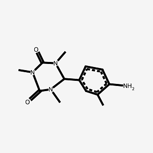 Cc1cc(C2N(C)C(=O)N(C)C(=O)N2C)ccc1N